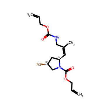 C=CCOC(=O)NCC(C)=C[C@@H]1C[C@H](S)CN1C(=O)OCC=C